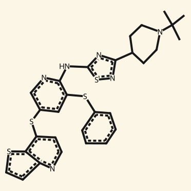 CC(C)(C)N1CCC(c2nsc(Nc3ncc(Sc4ccnc5ccsc45)cc3Sc3ccccc3)n2)CC1